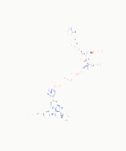 Cc1ncsc1-c1ccc(CNC(=O)[C@@H]2C[C@@H](O)CN2C(=O)[C@@H](NCCOCCOCCOCC(=O)n2cc(-c3ccn4c(Nc5ccc(C(=O)O)cc5)c(-c5ccccc5)nc4c3)nn2)C(C)(C)C)cc1